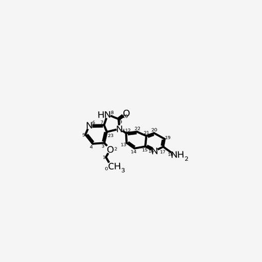 CCOc1ccnc2[nH]c(=O)n(-c3ccc4nc(N)ccc4c3)c12